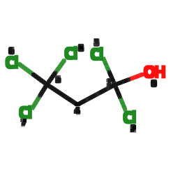 OC(Cl)(Cl)CC(Cl)(Cl)Cl